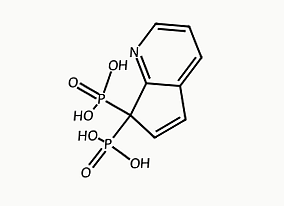 O=P(O)(O)C1(P(=O)(O)O)C=Cc2cccnc21